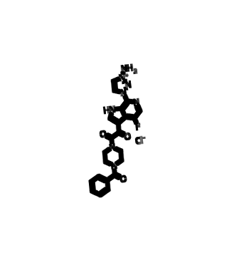 N[n+]1ccn(-c2ncc(F)c3c(C(=O)C(=O)N4CCN(C(=O)c5ccccc5)CC4)c[nH]c23)n1.[Cl-]